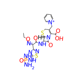 CCO/N=C(\C(=O)NC1C(=O)N2C(C(=O)O)=C(C[n+]3ccccc3)CS[C@H]12)c1nsc(NP(N)(N)=O)n1